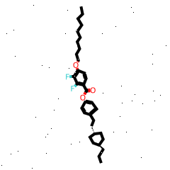 CCCCCCCCCCOc1ccc(C(=O)Oc2ccc(CC[C@H]3CC[C@H](CCC)CC3)cc2)c(F)c1F